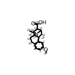 COc1ccc2c(c1)[C@]1(C)CC3C(C(=O)O)C[C@]1(C)C(C2)N3C